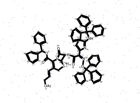 CC(=O)OC/C=C/C1=C(C(=O)OC(c2ccccc2)c2ccccc2)N2C(=O)C(NC(=O)/C(=N\OC(c3ccccc3)(c3ccccc3)c3ccccc3)c3csc(NC(c4ccccc4)(c4ccccc4)c4ccccc4)n3)[C@H]2SC1